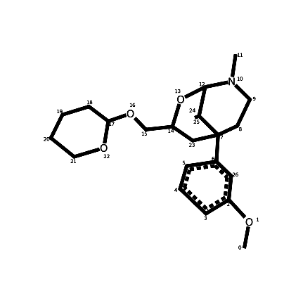 COc1cccc(C23CCN(C)C(OC(COC4CCCCO4)C2)C3C)c1